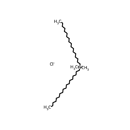 CCCCCCCCCCCCCCCCCC[N+](C)(C)CCCCCCCCCCCCCCCCCC.[Cl-]